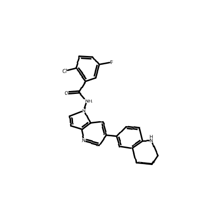 O=C(Nn1ccc2ncc(-c3ccc4c(c3)CCCN4)cc21)c1cc(F)ccc1Cl